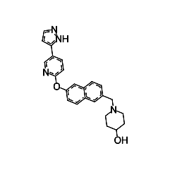 OC1CCN(Cc2ccc3cc(Oc4ccc(-c5ccn[nH]5)cn4)ccc3c2)CC1